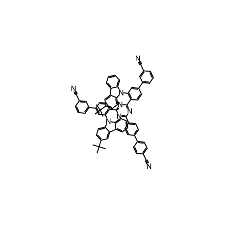 CC(C)(C)c1ccc2c(c1)c1ccccc1n2-c1cc(-c2cccc(C#N)c2)ccc1-c1nc(-c2ccc(-c3ccc(C#N)cc3)cc2)nc(-c2ccc(-c3cccc(C#N)c3)cc2-n2c3ccccc3c3cc(C(C)(C)C)ccc32)n1